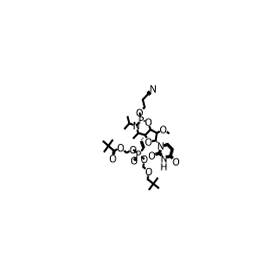 COC1C2OP(OCCC#N)N(C(C)C)C(C)[C@]2(/C=C/P(=O)(OCOCC(C)(C)C)OCOC(=O)C(C)(C)C)O[C@H]1n1ccc(=O)[nH]c1=O